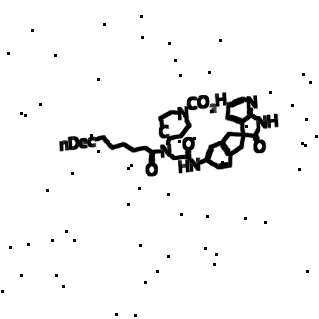 CCCCCCCCCCCCCCCC(=O)N(CC(=O)Nc1ccc2c(c1)CC1(C2)C(=O)Nc2ncccc21)C1CCCN(C(=O)O)CC1